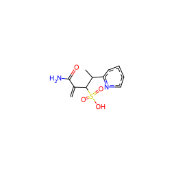 C=C(C(N)=O)C(C(C)c1ccccn1)S(=O)(=O)O